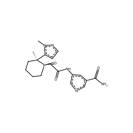 Cn1nccc1[C@]1(C)CCCCN1C(=O)C(=O)Nc1cncc(C(N)=O)c1